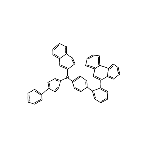 c1ccc(-c2ccc(N(c3ccc(-c4ccccc4-c4cc5ccccc5c5ccccc45)cc3)c3ccc4ccccc4c3)cc2)cc1